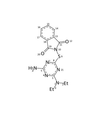 CCN(CC)c1nc(N)nc(SN2C(=O)c3ccccc3C2=O)n1